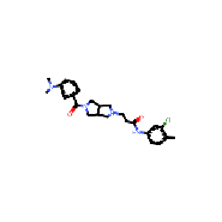 Cc1ccc(NC(=O)CCN2CC3CN(C(=O)c4cccc(N(C)C)c4)CC3C2)cc1Cl